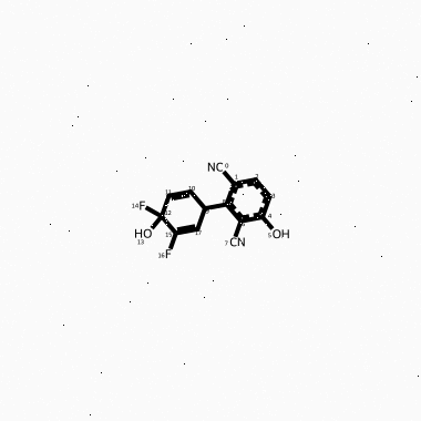 N#Cc1ccc(O)c(C#N)c1C1C=CC(O)(F)C(F)=C1